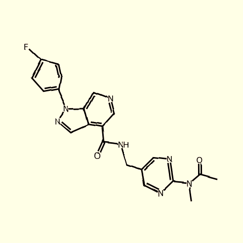 CC(=O)N(C)c1ncc(CNC(=O)c2cncc3c2cnn3-c2ccc(F)cc2)cn1